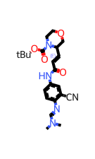 CN(C)C=Nc1ccc(NC(=O)/C=C/C2COCCN2C(=O)OC(C)(C)C)cc1C#N